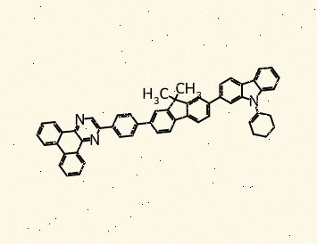 CC1(C)c2cc(-c3ccc(-c4cnc5c6ccccc6c6ccccc6c5n4)cc3)ccc2-c2ccc(-c3ccc4c5ccccc5n(C5=CCCCC5)c4c3)cc21